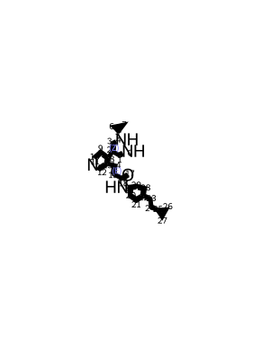 N=C/C(=C\NC1CC1)c1ccncc1/C=C/C(=O)Nc1ccc(CCC2CC2)cc1